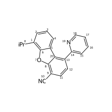 CC(C)c1cccc2c1oc1c(C#N)ccc(-c3ccccn3)c12